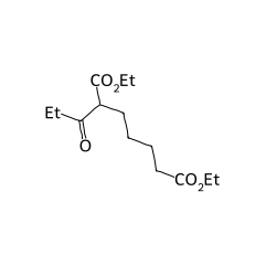 CCOC(=O)CCCCC(C(=O)CC)C(=O)OCC